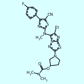 CCc1nc2sc(N3CCC(OC(=O)N(C)C)C3)nn2c1N(C)c1nc(-c2ccc(F)cc2)c(C#N)s1